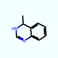 CC1NC=Nc2ccccc21